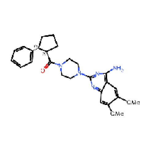 COc1cc2nc(N3CCN(C(=O)[C@@H]4CCC[C@H]4c4ccccc4)CC3)nc(N)c2cc1OC